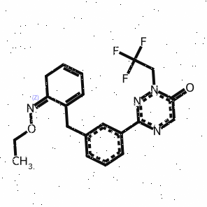 CCO/N=C1/CC=CC=C1Cc1cccc(-c2ncc(=O)n(CC(F)(F)F)n2)c1